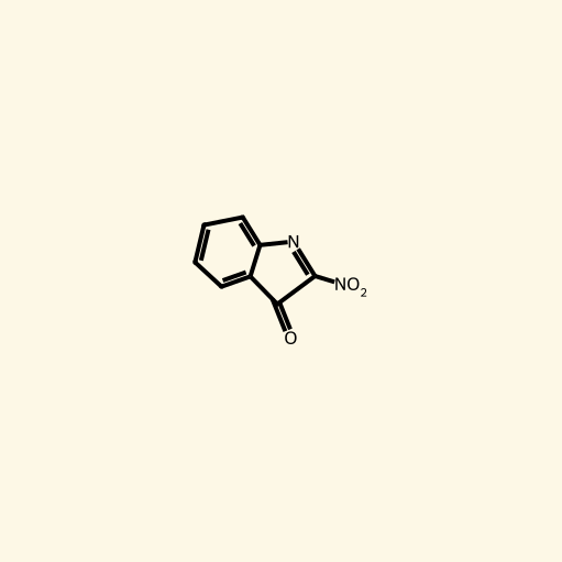 O=C1C([N+](=O)[O-])=Nc2ccccc21